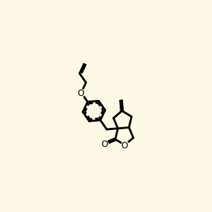 C=CCOc1ccc(CC23CC(=C)CC2COC3=O)cc1